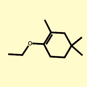 CCOC1=C(C)CC(C)(C)CC1